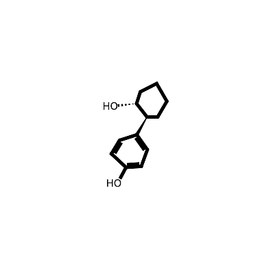 Oc1ccc([C@@H]2CCCC[C@H]2O)cc1